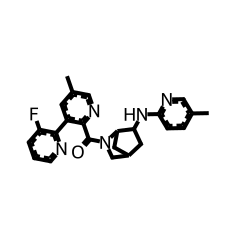 Cc1ccc(NC2CC3CC2N(C(=O)c2ncc(C)cc2-c2ncccc2F)C3)nc1